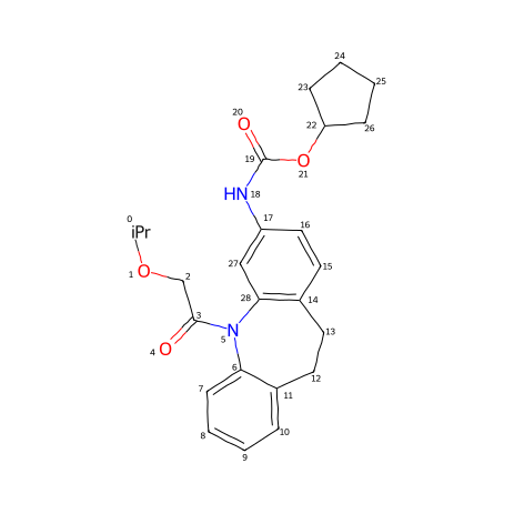 CC(C)OCC(=O)N1c2ccccc2CCc2ccc(NC(=O)OC3CCCC3)cc21